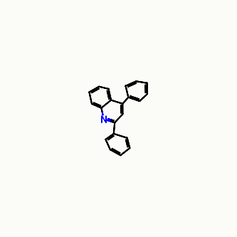 c1ccc(-c2cc(-c3ccccc3)c3ccccc3n2)cc1